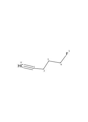 C#CCCCF